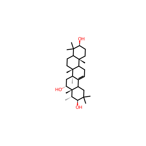 C[C@H]1[C@H](O)C(C)(C)CC2C3=CCC4[C@@]5(C)CC[C@H](O)C(C)(C)C5CC[C@@]4(C)[C@]3(C)C[C@@H](O)[C@]21C